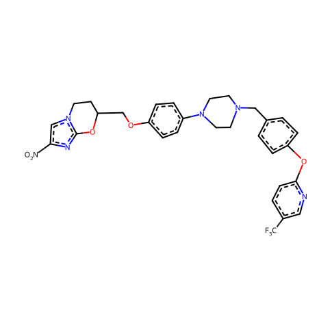 O=[N+]([O-])c1cn2c(n1)OC(COc1ccc(N3CCN(Cc4ccc(Oc5ccc(C(F)(F)F)cn5)cc4)CC3)cc1)CC2